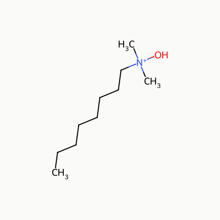 CCCCCCCC[N+](C)(C)O